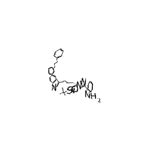 Cn1cc(CCC[C@@H](O[Si](C)(C)C(C)(C)C)n2cnc(C(N)=O)c2)c2cc(OCCCc3ccccc3)ccc21